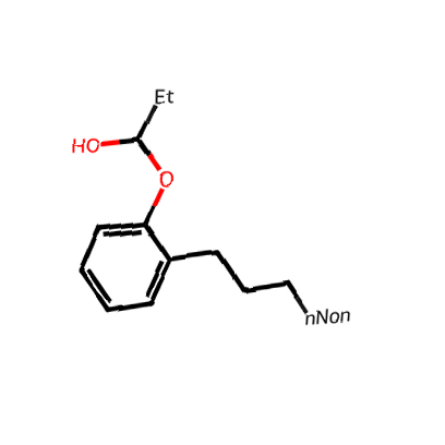 CCCCCCCCCCCCc1ccccc1OC(O)CC